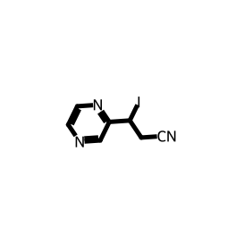 N#CCC(I)c1cnccn1